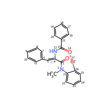 CN(C(=O)/C(=C/c1ccccc1)NC(=O)c1ccccc1)c1ccccc1Br